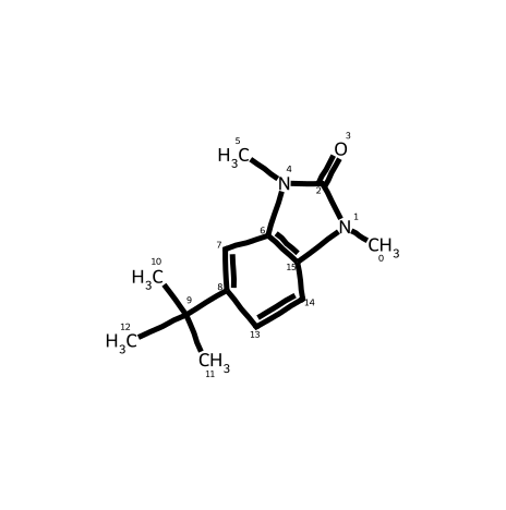 Cn1c(=O)n(C)c2cc(C(C)(C)C)ccc21